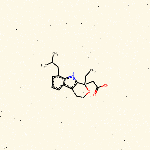 CCC1(CC(=O)O)OCCc2c1[nH]c1c(CC(C)C)cccc21